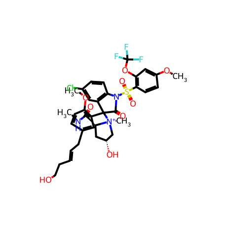 CNC(=O)[C@@H]1C[C@@H](O)C[N+]1(C)C1(c2cc(CC=CCCO)ccc2OC)C(=O)N(S(=O)(=O)c2ccc(OC)cc2OC(F)(F)F)c2ccc(Cl)cc21